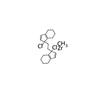 ClC1(CCC2(Cl)C=CC3=C2CCCC3)C=CC2=C1CCCC2.[CH3][Zr]